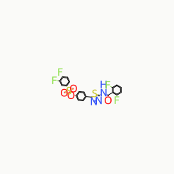 O=C(Nc1nnc(-c2ccc(OS(=O)(=O)c3ccc(F)c(F)c3)cc2)s1)c1c(F)cccc1F